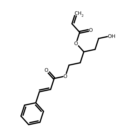 C=CC(=O)OC(CCO)CCOC(=O)C=Cc1ccccc1